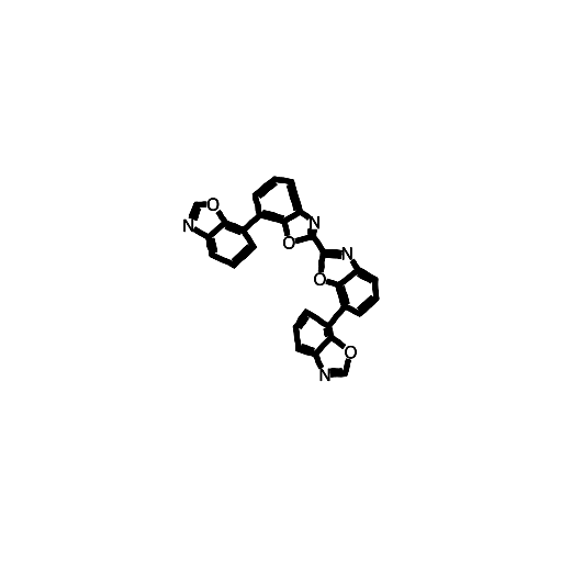 c1cc(-c2cccc3nc(-c4nc5cccc(-c6cccc7ncoc67)c5o4)oc23)c2ocnc2c1